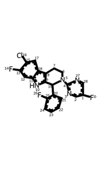 Fc1cnc(N2CCc3c([nH]c4cc(F)c(Cl)cc34)C2c2ccccc2F)nc1